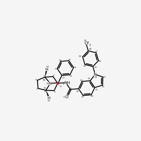 O=C(NC1C[C@H]2CC[C@@H](C1)N2Cc1ccccc1)c1ccc2ccn(-c3ccc(C(F)(F)F)cc3)c2c1